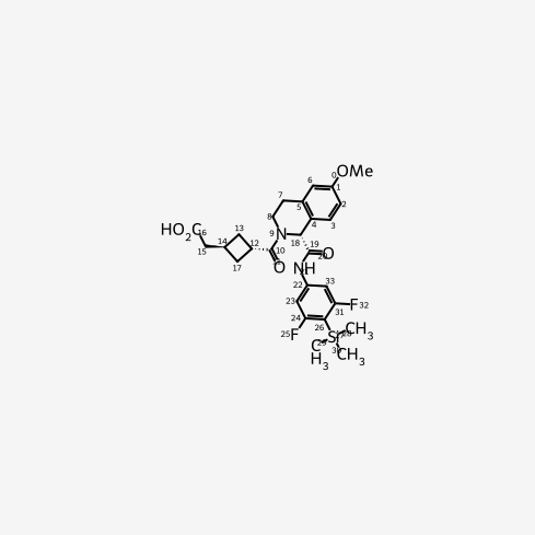 COc1ccc2c(c1)CCN(C(=O)[C@H]1C[C@H](CC(=O)O)C1)[C@H]2C(=O)Nc1cc(F)c([Si](C)(C)C)c(F)c1